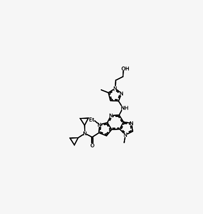 CCn1c(C(=O)N(C2CC2)C2CC2)cc2c3c(ncn3C)c(Nc3cc(C)n(CCO)n3)nc21